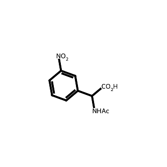 CC(=O)NC(C(=O)O)c1cccc([N+](=O)[O-])c1